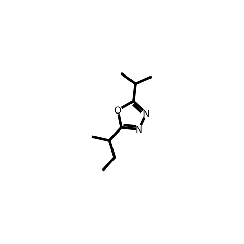 CCC(C)c1nnc(C(C)C)o1